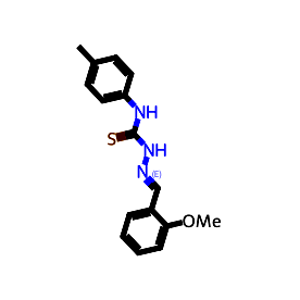 COc1ccccc1/C=N/NC(=S)Nc1ccc(C)cc1